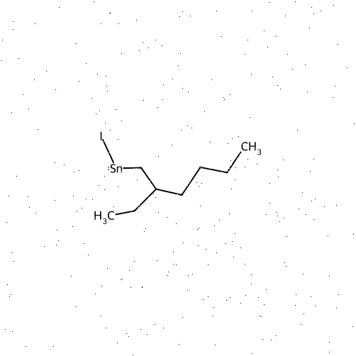 CCCCC(CC)[CH2][Sn][I]